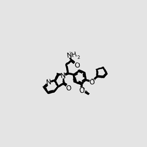 COc1cc(C(CC(N)=O)N2C=C3N=CC=CC3C2=O)ccc1OC1CCCC1